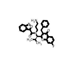 CC(C)[C@H](c1oc2cc(F)ccc2c(=O)c1Cc1ccccc1)N(CCCN)C(=O)c1onc2ccccc12